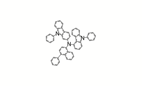 c1ccc(-c2ccc(N(c3ccc4c5ccccc5n(-c5ccccc5)c4c3)c3cccc4c3c3ccccc3n4-c3ccccc3)c3ccccc23)cc1